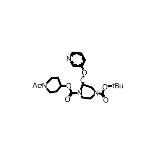 CC(=O)N1CCC(OC(=O)N2CCN(C(=O)OC(C)(C)C)CC2COc2cccnc2)CC1